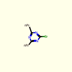 CCCc1nc(Br)nc(CCC)n1